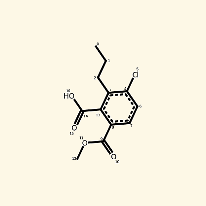 CCCc1c(Cl)ccc(C(=O)OC)c1C(=O)O